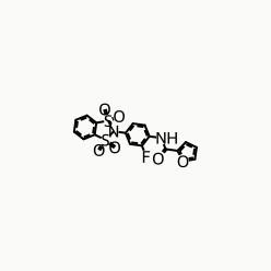 O=C(Nc1ccc(N2S(=O)(=O)c3ccccc3S2(=O)=O)cc1F)c1ccco1